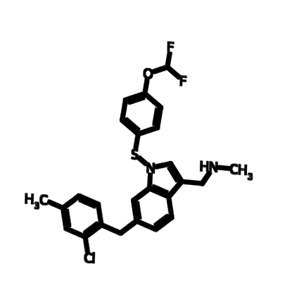 CNCc1cn(Sc2ccc(OC(F)F)cc2)c2cc(Cc3ccc(C)cc3Cl)ccc12